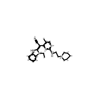 CCN1C(=C(C#N)c2nc(NCCN3CCCCC3)ncc2C)Nc2ccccc21